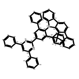 CC1(C)c2ccccc2-c2ccc3c4ccccc4n(-c4c(-c5ccccc5)cc(-c5nc(-c6ccccc6)cc(-c6ccccc6)n5)cc4-c4ccccc4)c3c21